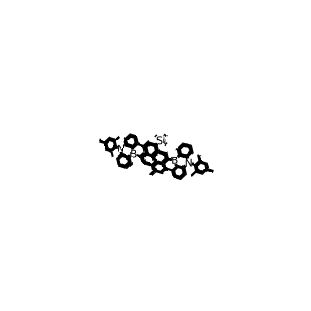 Cc1cc(C)c(N2c3ccccc3B3c4c(cccc42)-c2cc(C)c4cc5c6c(cc([Si](C)(C)C)c7cc3c2c4c76)-c2cccc3c2B5c2ccccc2N3c2c(C)cc(C)cc2C)c(C)c1